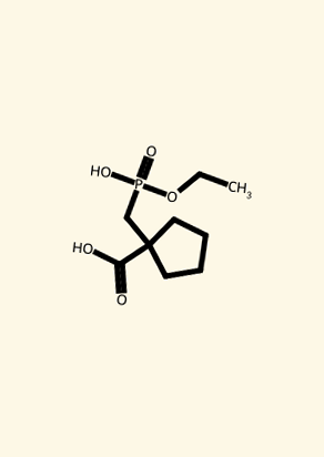 CCOP(=O)(O)CC1(C(=O)O)CCCC1